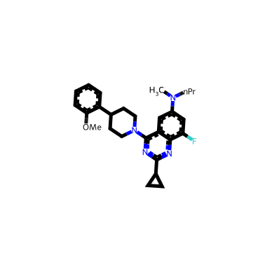 CCCN(C)c1cc(F)c2nc(C3CC3)nc(N3CCC(c4ccccc4OC)CC3)c2c1